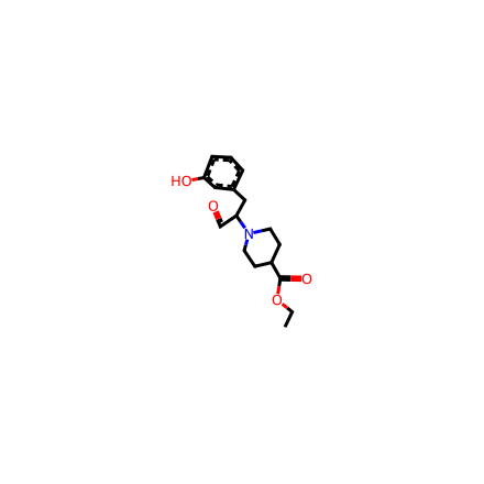 CCOC(=O)C1CCN(C(C=O)Cc2cccc(O)c2)CC1